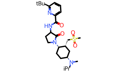 CC(C)N(C)[C@@H]1CC[C@H](N2CCC(NC(=O)c3cccc(C(C)(C)C)n3)C2=O)[C@H](CS(C)(=O)=O)C1